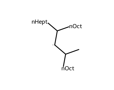 CCCCCCCCC(C)[CH]C(CCCCCCC)CCCCCCCC